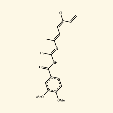 C=C\C(Cl)=C/C=C(C)/N=C(\S)NC(=O)c1ccc(OC)c(OC)c1